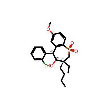 CCCC[C@]1(CC)CS(=O)(=O)c2ccc(OC)cc2[C@H](c2ccccc2F)[C@@H]1O